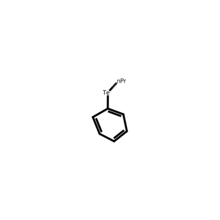 CCC[Te]c1ccccc1